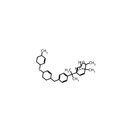 C=C/C=C(\C=C/C(C)(C)C(C)C)C(C)(C)c1ccc(CC2C=CC(SC3C=CC(C)CC3)CC2)cc1